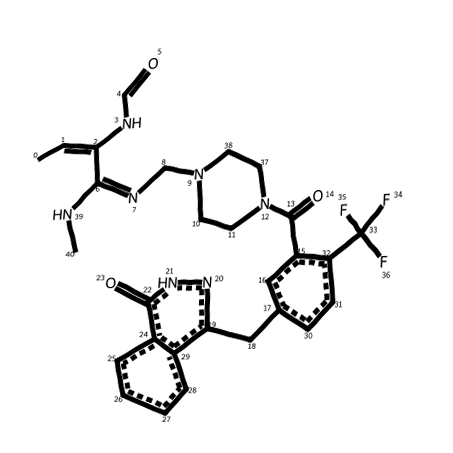 C/C=C(NC=O)\C(=N/CN1CCN(C(=O)c2cc(Cc3n[nH]c(=O)c4ccccc34)ccc2C(F)(F)F)CC1)NC